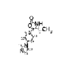 CCc1[nH]c(=O)oc1-c1ccc(-n2ccnc2)cc1